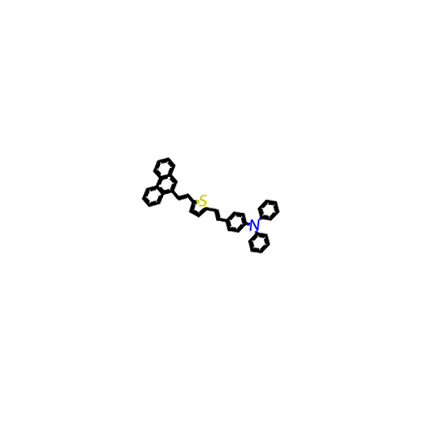 C(=Cc1ccc(C=Cc2cc3ccccc3c3ccccc23)s1)c1ccc(N(c2ccccc2)c2ccccc2)cc1